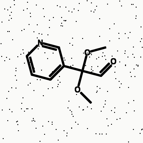 COC(C=O)(OC)c1cccnc1